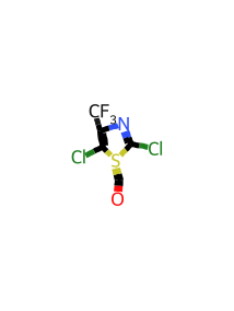 O=C=S1C(Cl)=NC(C(F)(F)F)=C1Cl